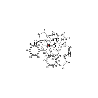 O=C(O)[C@@H]1[C@H]2CC[C@@H](CN1C(=O)N1c3ccccc3C=Nc3ccccc31)N2C(=O)C(c1ccccc1)c1ccccc1